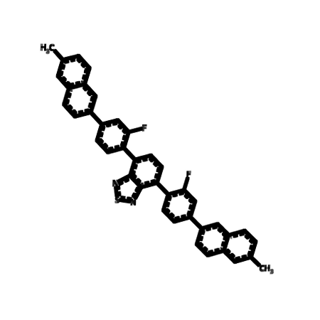 Cc1ccc2cc(-c3ccc(-c4ccc(-c5ccc(-c6ccc7cc(C)ccc7c6)cc5F)c5nsnc45)c(F)c3)ccc2c1